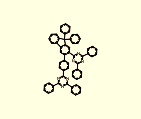 c1ccc(-c2nc(-c3ccccc3)nc(-c3ccc(-c4cc5c(cc4-c4nc(-c6ccccc6)nc(-c6ccccc6)n4)C(c4ccccc4)(c4ccccc4)c4ccccc4-5)cc3)n2)cc1